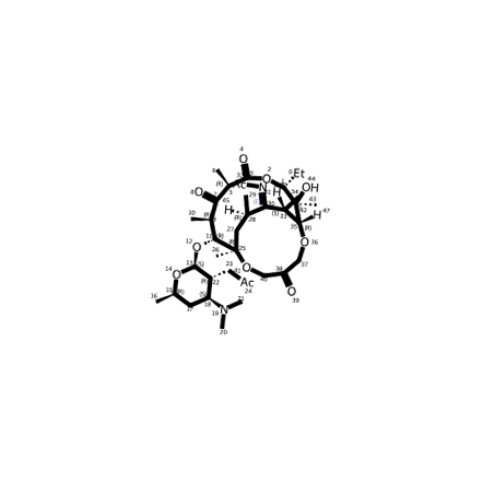 CC[C@H]1OC(=O)[C@H](C)C(=O)[C@H](C)[C@@H](O[C@@H]2O[C@H](C)C[C@H](N(C)C)[C@H]2CC(C)=O)[C@@]2(C)C[C@@H](C)/C(=N\C(C)=O)[C@H](C)[C@@H](OCC(=O)CO2)[C@]1(C)O